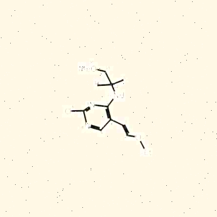 CCOC=Cc1cnc(Cl)nc1NC(C)(C)COC